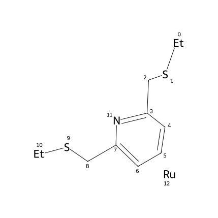 CCSCc1cccc(CSCC)n1.[Ru]